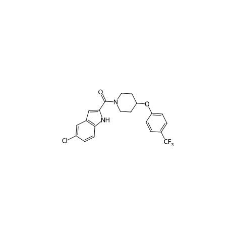 O=C(c1cc2cc(Cl)ccc2[nH]1)N1CCC(Oc2ccc(C(F)(F)F)cc2)CC1